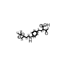 CC(=O)C(CCc1ccc(NCCC2COC(C)(C)O2)cc1)C(=O)O